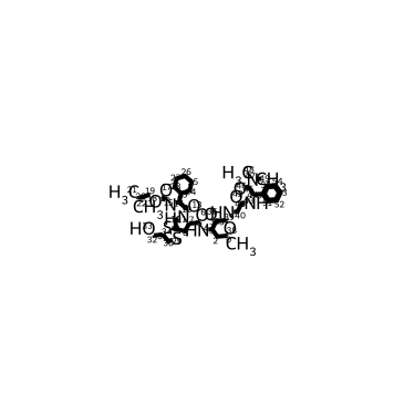 CCCC(NC(=O)C1CC2(CN1C(=O)C(NC(=O)OCC(C)C)C1CCCCC1)SCC(CO)S2)C(=O)C(=O)NCC(=O)NC(C(=O)N(C)C)c1ccccc1